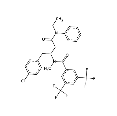 CCN(C(=O)CC(Cc1ccc(Cl)cc1)N(C)C(=O)c1cc(C(F)(F)F)cc(C(F)(F)F)c1)c1ccccc1